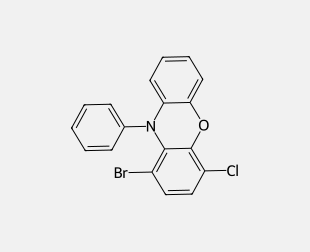 Clc1ccc(Br)c2c1Oc1ccccc1N2c1ccccc1